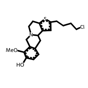 COc1c(O)ccc2c1CN1CCc3sc(CCCCCl)cc3C1C2